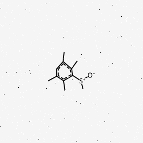 Cc1cc(C)c(C)c([S+](C)[O-])c1C